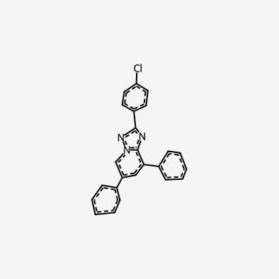 Clc1ccc(-c2nc3c(-c4ccccc4)cc(-c4ccccc4)cn3n2)cc1